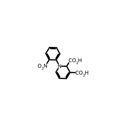 O=C(O)C1=CC=CN(c2ccccc2[N+](=O)[O-])C1C(=O)O